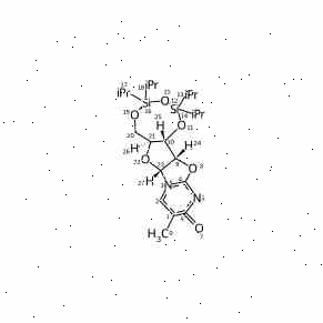 Cc1cn2c(nc1=O)O[C@H]1[C@H]3O[Si](C(C)C)(C(C)C)O[Si](C(C)C)(C(C)C)OC[C@@H]3O[C@H]12